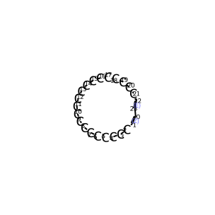 C1=C\CCCCCCCCCCCCCCCCCCCC/C=C/1